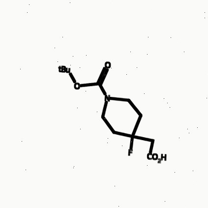 CC(C)(C)OC(=O)N1CCC(F)(CC(=O)O)CC1